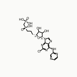 O=P(O)(O)CP(=O)(O)CCC[C@H]1O[C@@H](n2cnc3c(Nc4cnccn4)nc(Cl)nc32)C(O)C1O